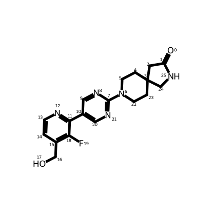 O=C1CC2(CCN(c3ncc(-c4nccc(CO)c4F)cn3)CC2)CN1